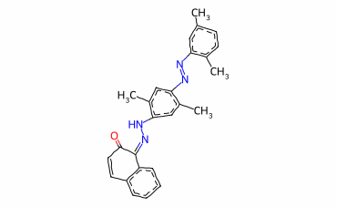 Cc1ccc(C)c(/N=N/c2cc(C)c(N/N=C3\C(=O)C=Cc4ccccc43)cc2C)c1